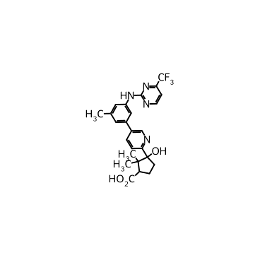 Cc1cc(Nc2nccc(C(F)(F)F)n2)cc(-c2ccc(C3(O)CCC(C(=O)O)C3(C)C)nc2)c1